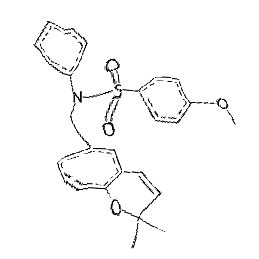 COc1ccc(S(=O)(=O)N(Cc2ccc3c(c2)C=CC(C)(C)O3)c2ccccc2)cc1